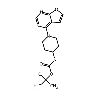 CC(C)(C)OC(=O)NC1CCN(c2ncnc3occc23)CC1